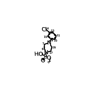 COP(=O)(O)N1CCN(c2cccc(Cl)c2)CC1